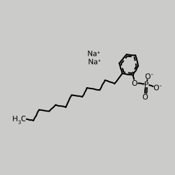 CCCCCCCCCCCCc1ccccc1OP(=O)([O-])[O-].[Na+].[Na+]